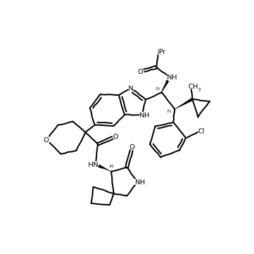 CC(C)C(=O)N[C@H](c1nc2ccc(C3(C(=O)N[C@H]4C(=O)NCC45CCC5)CCOCC3)cc2[nH]1)[C@H](c1ccccc1Cl)C1(C)CC1